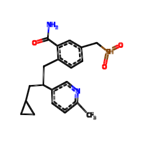 NC(=O)c1cc(C[SH](=O)=O)ccc1CC(CC1CC1)c1ccc(C(F)(F)F)nc1